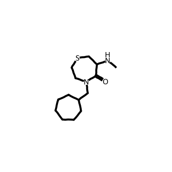 CNC1CSCCN(CC2CCCCCC2)C1=O